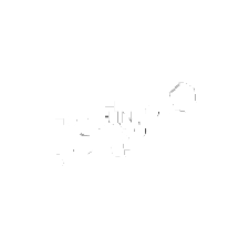 CC(C)(C[C@](NC(=S)NC(=O)OCc1ccccc1)(C(=O)O)c1ccc(Br)cc1)C(F)(F)F